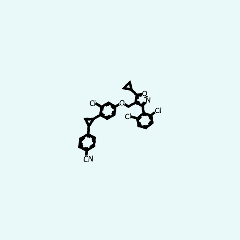 N#Cc1ccc(C2CC2c2ccc(OCc3c(-c4c(Cl)cccc4Cl)noc3C3CC3)cc2Cl)cc1